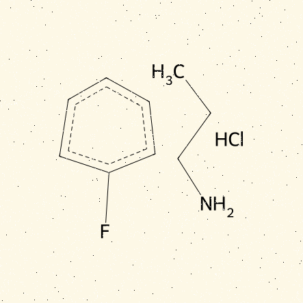 CCCN.Cl.Fc1ccccc1